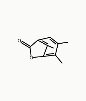 Cc1cc2c(C)c(c1C)OC2=O